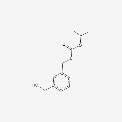 CC(C)OC(=O)NCc1cccc(CO)c1